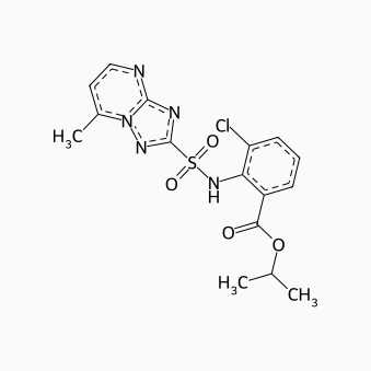 Cc1ccnc2nc(S(=O)(=O)Nc3c(Cl)cccc3C(=O)OC(C)C)nn12